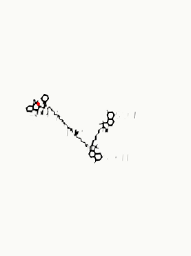 CCc1cccc2c1c(O)c(C(=O)N(CCOCCOCCOCCNC(=O)CCCCCN1/C(=C/C=C/C=C/C3=[N+](CC)c4ccc5c(S(=O)(=O)O)cc(C)cc5c4C3(C)C)C(C)(C)c3c1ccc1c(C)cc(S(=O)(=O)O)cc31)c1ccccc1)c(=O)n2C